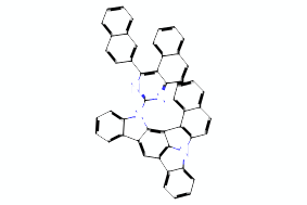 c1ccc2cc(-c3nc(-n4c5ccccc5c5cc6c7ccccc7n7c8ccc9ccccc9c8c(c54)c67)nc4ccc5ccccc5c34)ccc2c1